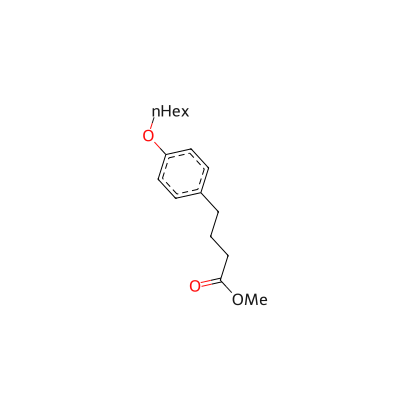 CCCCCCOc1ccc(CCCC(=O)OC)cc1